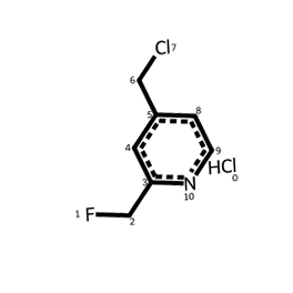 Cl.FCc1cc(CCl)ccn1